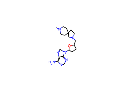 CN1CCC2(CC1)CCN(CC1CCC(n3cnc4c(N)ncnc43)O1)C2